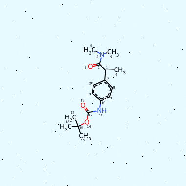 CC(C(=O)N(C)C)c1ccc(NC(=O)OC(C)(C)C)cc1